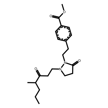 CCCC(C)C(=O)CCN1CCC(=O)N1CCc1ccc(C(=O)OC)cc1